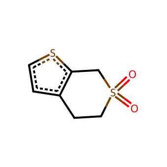 O=S1(=O)CCc2ccsc2C1